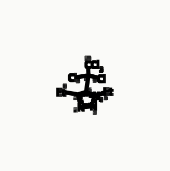 CCc1nnn(CC)c1C(Cl)(Cl)C(Cl)(Cl)Cl